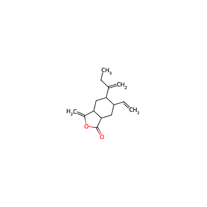 C=CC1CC2C(=O)OC(=C)C2CC1C(=C)CC